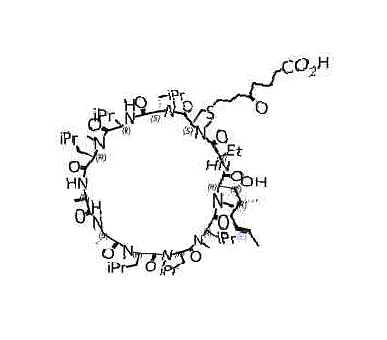 C/C=C/C[C@@H](C)[C@@H](O)[C@@H]1C(=O)N[C@H](CC)C(=O)N(C)[C@H](CSCCCC(=O)CCCC(=O)O)C(=O)N(C)[C@@H](CC(C)C)C(=O)N[C@H](C(C)C)C(=O)N(C)[C@H](CC(C)C)C(=O)N[C@H](C)C(=O)N[C@@H](C)C(=O)N(C)[C@H](CC(C)C)C(=O)N(C)[C@H](CC(C)C)C(=O)N(C)[C@H](C(C)C)C(=O)N1C